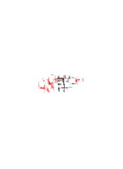 CC(=O)CC(=O)[C@@]1(O)[C@H](O)C[C@H]2[C@@H]3CCC4=CC(=O)CC[C@]4(C)C3=CC[C@@]21C